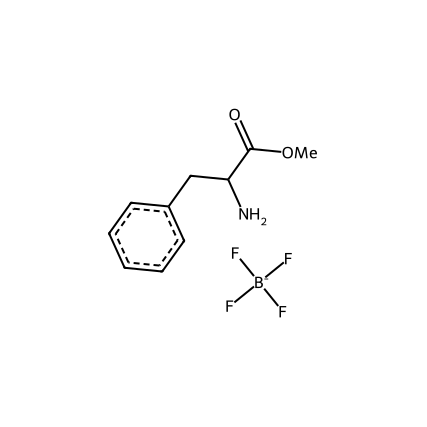 COC(=O)C(N)Cc1ccccc1.F[B-](F)(F)F